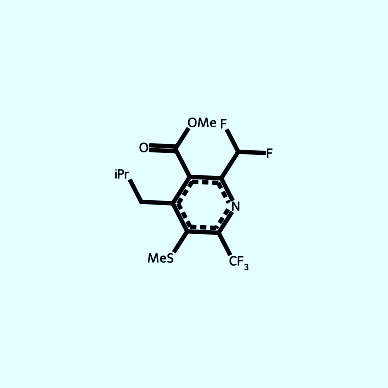 COC(=O)c1c(C(F)F)nc(C(F)(F)F)c(SC)c1CC(C)C